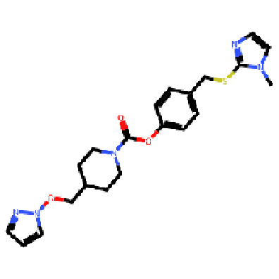 Cn1ccnc1SCc1ccc(OC(=O)N2CCC(COn3cccn3)CC2)cc1